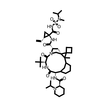 C=C[C@@H]1C[C@]1(NC(=O)[C@@H]1C[C@@]23CN1C(=O)[C@H](C(C)(C)C)NC(=O)[C@@H](NC(=O)[C@H]1CCCCN1C(C)C)C1CCCC(C1)C2(C)C31CCC1)C(=O)NS(=O)(=O)N(C)C(C)C